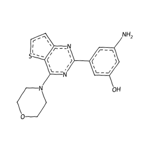 Nc1cc(O)cc(-c2nc(N3CCOCC3)c3sccc3n2)c1